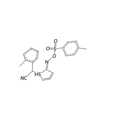 Cc1ccc(S(=O)(=O)ON=C2C=C=C[SH]2C(C#N)c2ccccc2C)cc1